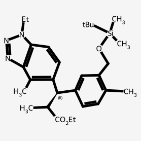 CCOC(=O)C(C)[C@H](c1ccc(C)c(CO[Si](C)(C)C(C)(C)C)c1)c1ccc2c(nnn2CC)c1C